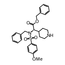 COc1ccc(S(=O)(=O)N(Cc2ccccc2)[C@@H](C(=O)OCc2ccccc2)C2CCNCC2)cc1